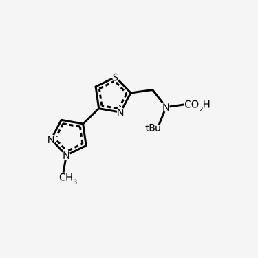 Cn1cc(-c2csc(CN(C(=O)O)C(C)(C)C)n2)cn1